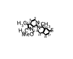 COCn1c(C)c(C)c2ccnc(N3CCc4ccc(F)cc4C3C)c21